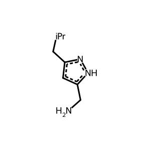 CC(C)Cc1cc(CN)[nH]n1